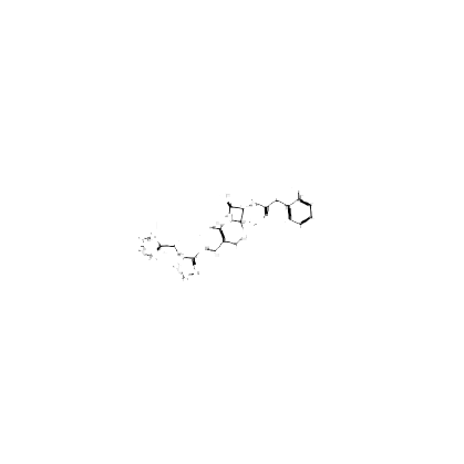 O=C(Cc1ccccc1C(=O)O)N[C@@H]1C(=O)N2C(C(=O)O)=C(CSc3nnnn3Cc3nnn[nH]3)CS[C@H]12